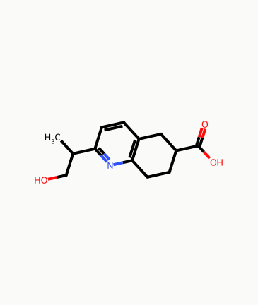 CC(CO)c1ccc2c(n1)CCC(C(=O)O)C2